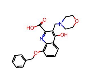 O=C(O)c1nc2c(OCc3ccccc3)cccc2c(O)c1CN1CCOCC1